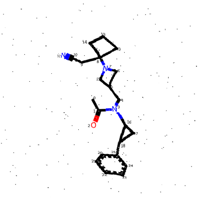 CC(=O)N(CC1CN(C2(CC#N)CCC2)C1)C1CC1c1ccccc1